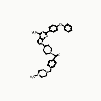 CN1CCN(Cc2ccc(C(=O)N3CCC(n4ncc5c(N)nc(-c6ccc(Oc7ccccc7)cc6)nc54)CC3)cc2)CC1